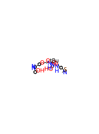 Cc1ncsc1-c1ccc([C@H](C)NC(=O)[C@@H]2C[C@@H](O)CN2C(=O)[C@@H](NC(=O)CCCOc2ccc(-c3cnnc(-c4ccccc4O)c3)cc2)C(C)(C)C)cc1